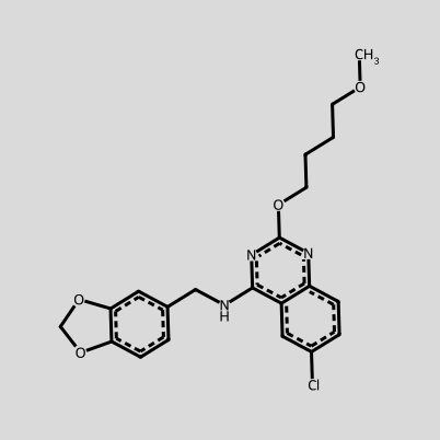 COCCCCOc1nc(NCc2ccc3c(c2)OCO3)c2cc(Cl)ccc2n1